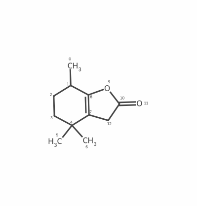 CC1CCC(C)(C)C2=C1OC(=O)C2